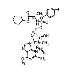 CCOc1nc(N)nc2c1ncn2[C@@H]1O[C@H](COP(=O)(N[C@@H](C)C(=O)OC2CCCCC2)Oc2ccc(F)cc2)[C@@H](O)[C@@]1(C)N=[N+]=[N-]